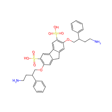 NCCC(COc1cc2c(cc1S(=O)(=O)O)-c1cc(S(=O)(=O)O)c(OCC(CCN)c3ccccc3)cc1C2)c1ccccc1